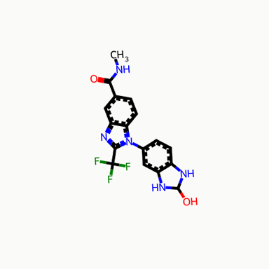 CNC(=O)c1ccc2c(c1)nc(C(F)(F)F)n2-c1ccc2c(c1)NC(O)N2